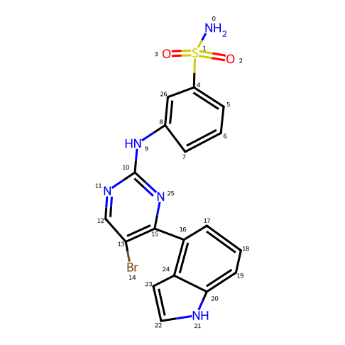 NS(=O)(=O)c1cccc(Nc2ncc(Br)c(-c3cccc4[nH]ccc34)n2)c1